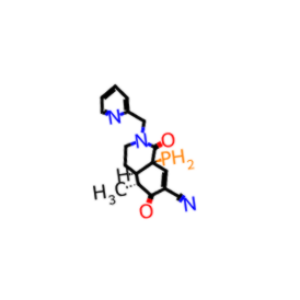 C[C@H]1C(=O)C(C#N)=C[C@@]2(P)C(=O)N(Cc3ccccn3)CC[C@H]12